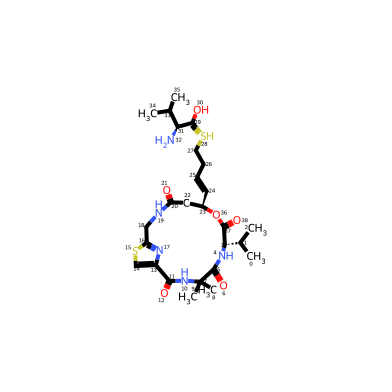 CC(C)[C@@H]1NC(=O)C(C)(C)NC(=O)c2csc(n2)CNC(=O)C[C@@H](/C=C/CC/[SH]=C(/O)[C@@H](N)C(C)C)OC1=O